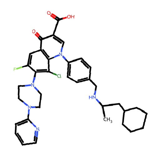 CC(CC1CCCCC1)NCc1ccc(-n2cc(C(=O)O)c(=O)c3cc(F)c(N4CCN(c5ccccn5)CC4)c(Cl)c32)cc1